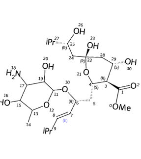 COC(=O)[C@H]1[C@H](C[C@H](/C=C/C(C)C)OC2OC(C)C(O)C(N)C2O)O[C@](O)(C[C@@H](O)C(C)C)C[C@@H]1O